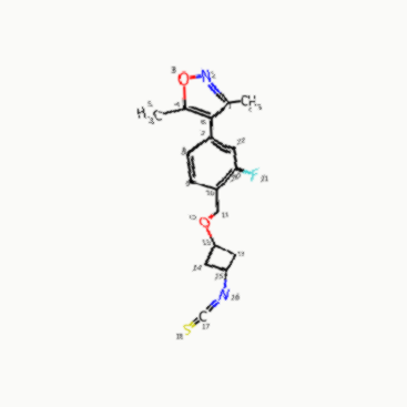 Cc1noc(C)c1-c1ccc(COC2CC(N=C=S)C2)c(F)c1